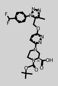 Cc1nnn(-c2ccc(C(F)F)cc2)c1COc1ccc(N2CCN(C(=O)OC(C)(C)C)[C@H](C(=O)O)C2)nn1